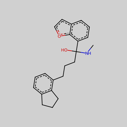 CNC(O)(CCCc1cccc2c1CCC2)c1cccc2ccoc12